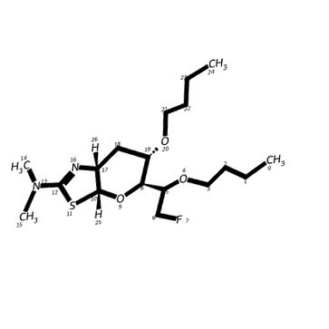 CCCCOC(CF)[C@H]1O[C@@H]2SC(N(C)C)=N[C@@H]2C[C@@H]1OCCCC